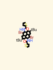 CC(C)(C)c1cc2c(Br)c(NC(=O)c3cccs3)c3cc(C(C)(C)C)cc4c(Br)c(NC(=O)c5cccs5)c(c1)c2c43